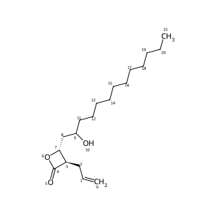 C=CC[C@H]1C(=O)O[C@@H]1CC(O)CCCCCCCCCCC